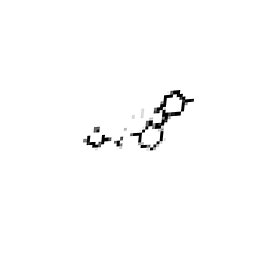 O=C(NC1CCCc2c1[nH]c1ccc(Cl)cc21)c1cc[nH]n1